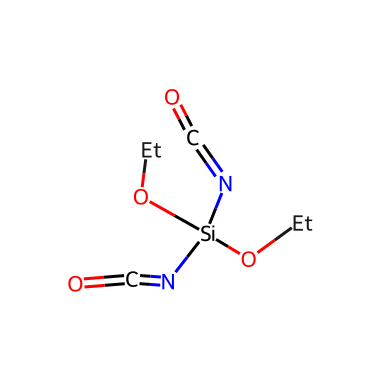 CCO[Si](N=C=O)(N=C=O)OCC